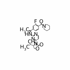 CC(C)C1COC(=O)N1c1ccnc(N[C@@H](C)c2ccc(C(=O)N3CCCCC3)c(F)c2)n1